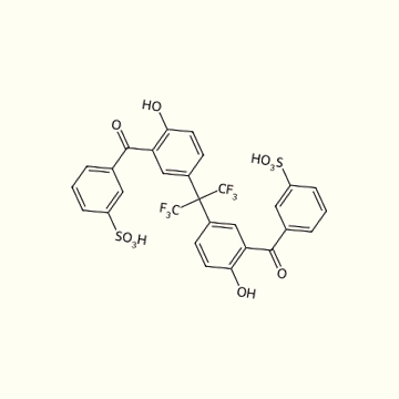 O=C(c1cccc(S(=O)(=O)O)c1)c1cc(C(c2ccc(O)c(C(=O)c3cccc(S(=O)(=O)O)c3)c2)(C(F)(F)F)C(F)(F)F)ccc1O